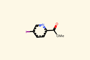 COC(=O)c1ccc(I)cn1